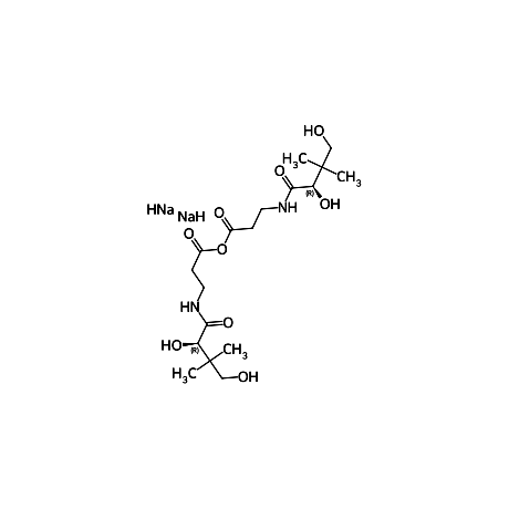 CC(C)(CO)[C@@H](O)C(=O)NCCC(=O)OC(=O)CCNC(=O)[C@H](O)C(C)(C)CO.[NaH].[NaH]